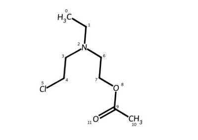 CCN(CCCl)CCOC(C)=O